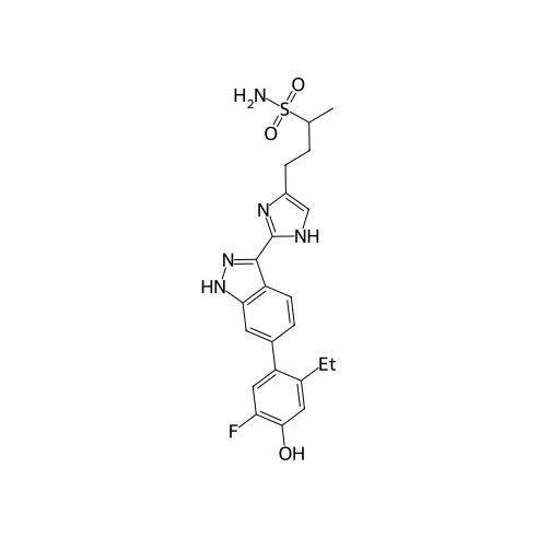 CCc1cc(O)c(F)cc1-c1ccc2c(-c3nc(CCC(C)S(N)(=O)=O)c[nH]3)n[nH]c2c1